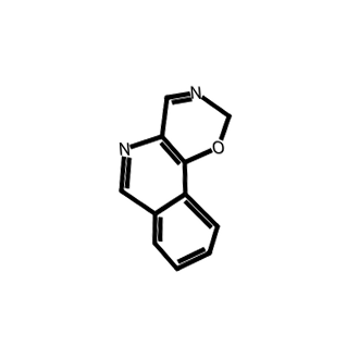 C1=NCOc2c1ncc1ccccc21